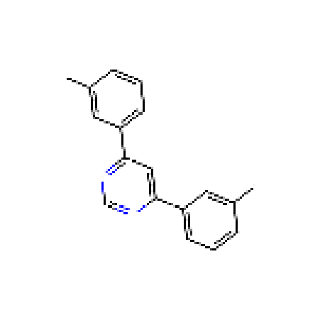 Cc1cccc(-c2cc(-c3cccc(C)c3)ncn2)c1